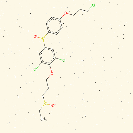 CC[S+]([O-])CCCOc1c(Cl)cc([S+]([O-])c2ccc(OCCCCl)cc2)cc1Cl